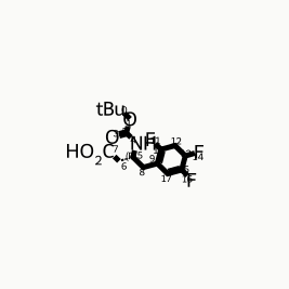 CC(C)(C)OC(=O)N[C@@H](CC(=O)O)CC1=C(F)CC(F)C(F)=C1